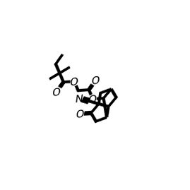 CCC(C)(C)C(=O)OCC(=O)OC1C2CC3C1CC(=O)C3(C#N)C2